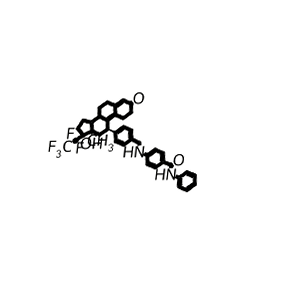 C[C@]12C[C@H](c3ccc(CNc4ccc(C(=O)Nc5ccccc5)cc4)cc3)C3=C4CCC(=O)C=C4CCC3C1CC[C@@]2(O)C(F)(F)C(F)(F)F